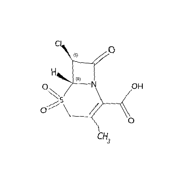 CC1=C(C(=O)O)N2C(=O)[C@H](Cl)[C@H]2S(=O)(=O)C1